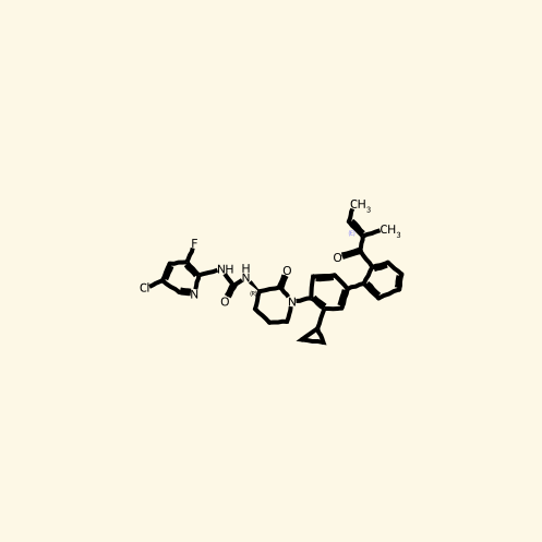 C/C=C(\C)C(=O)c1ccccc1-c1ccc(N2CCC[C@@H](NC(=O)Nc3ncc(Cl)cc3F)C2=O)c(C2CC2)c1